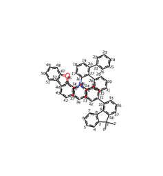 CC1(C)c2ccccc2-c2c(-c3ccc(N(c4cccc(-c5ccccc5)c4-c4ccccc4-c4ccccc4)c4cccc5c4oc4ccccc45)cc3)cccc21